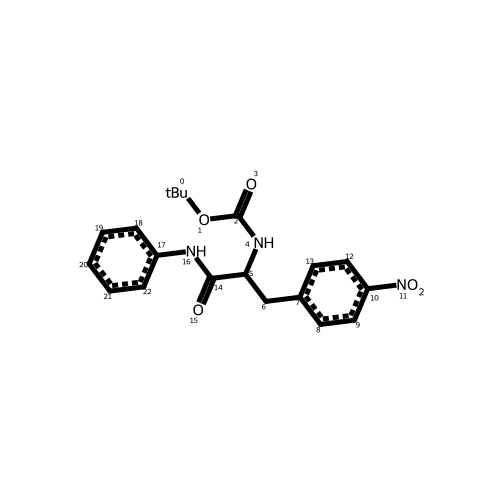 CC(C)(C)OC(=O)NC(Cc1ccc([N+](=O)[O-])cc1)C(=O)Nc1ccccc1